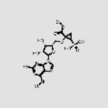 CCNC(=O)[C@]1(OC[C@H]2O[C@@H](n3cnc4c(NCC)nc(Cl)nc43)[C@H](O)[C@@H]2O)CC1P(=O)(O)O